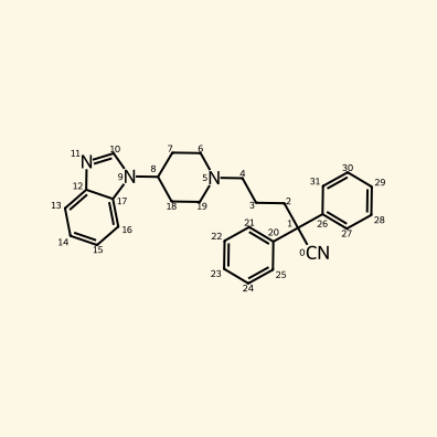 N#CC(CCCN1CCC(n2cnc3ccccc32)CC1)(c1ccccc1)c1ccccc1